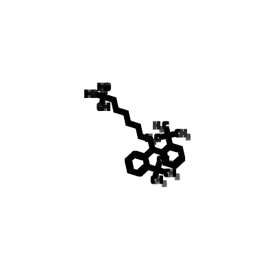 CC(C)(C)c1ccccc1C(CCCCCCC[PH](O)(O)O)c1ccccc1C(C)(C)C